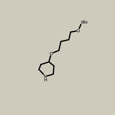 CC(C)(C)OCCCCOC1CCNCC1